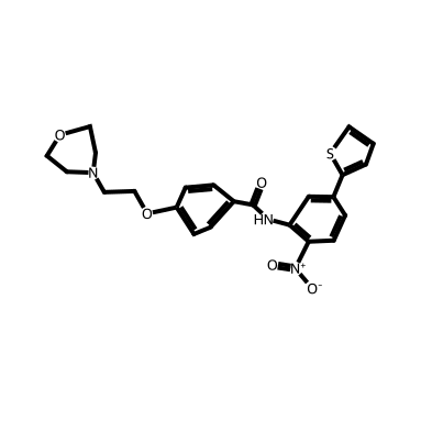 O=C(Nc1cc(-c2cccs2)ccc1[N+](=O)[O-])c1ccc(OCCN2CCOCC2)cc1